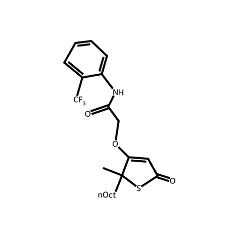 CCCCCCCCC1(C)SC(=O)C=C1OCC(=O)Nc1ccccc1C(F)(F)F